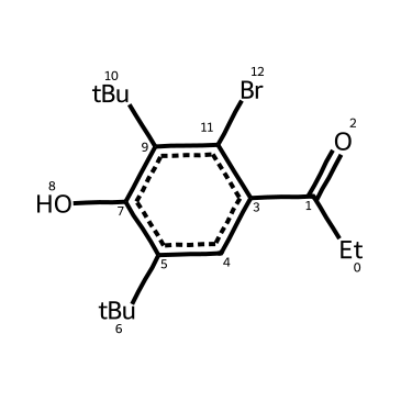 CCC(=O)c1cc(C(C)(C)C)c(O)c(C(C)(C)C)c1Br